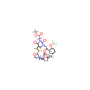 Cc1c(-c2ncco2)sc2c1c(=O)n(C(C)(C)C(=O)OC(C)(C)C)c(=O)n2C[C@H](O[C@@H]1C[C@H]2CC[C@@H](C1)O2)c1cc(F)ccc1OC(F)F